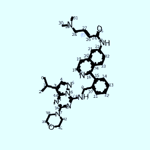 CC(C)c1cnn2c(NCc3ccccc3-c3nccc4cc(NC(=O)/C=C/CN(C)C)ccc34)nc(N3CCOCC3)nc12